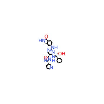 O=C1NCc2cc(Nc3ncc(-c4nc(-c5cccnc5)no4)c(N[C@H](CO)c4ccccc4)n3)ccc21